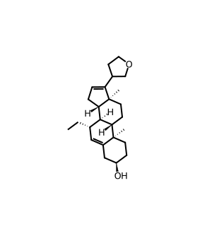 CC[C@H]1C=C2C[C@H](O)CC[C@]2(C)[C@H]2CC[C@]3(C)C(C4CCOC4)=CC[C@H]3[C@H]12